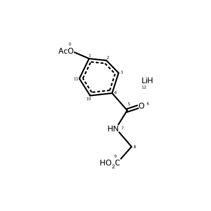 CC(=O)Oc1ccc(C(=O)NCC(=O)O)cc1.[LiH]